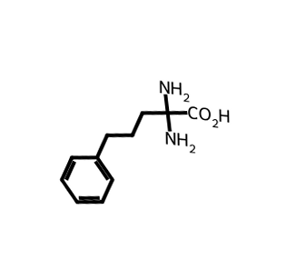 NC(N)(CCCc1ccccc1)C(=O)O